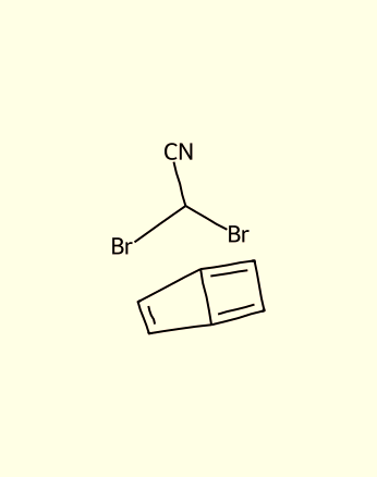 N#CC(Br)Br.c1cc2ccc1-2